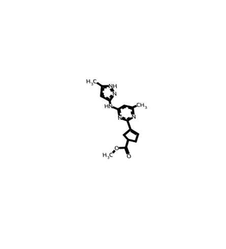 COC(=O)C1CC=C(c2nc(C)cc(Nc3cc(C)[nH]n3)n2)C1